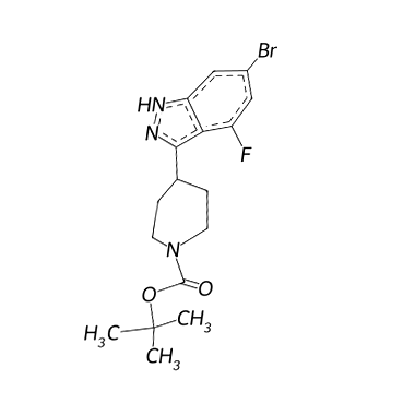 CC(C)(C)OC(=O)N1CCC(c2n[nH]c3cc(Br)cc(F)c23)CC1